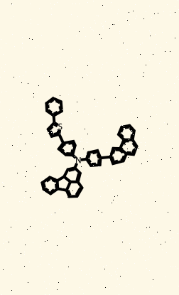 C1=CC2=CC(N(c3ccc(-c4ccc5ccc6ccccc6c5c4)cc3)c3ccc(-c4ccc(-c5ccccc5)s4)cc3)=CC3c4ccccc4C(=C1)C23